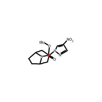 CC(C)(C)OC(=O)N1C2CCC1CC(n1cc([N+](=O)[O-])cn1)C2